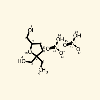 CCC1(CO)CCC(CO)O1.O=[N+]([O-])O.O=[N+]([O-])O